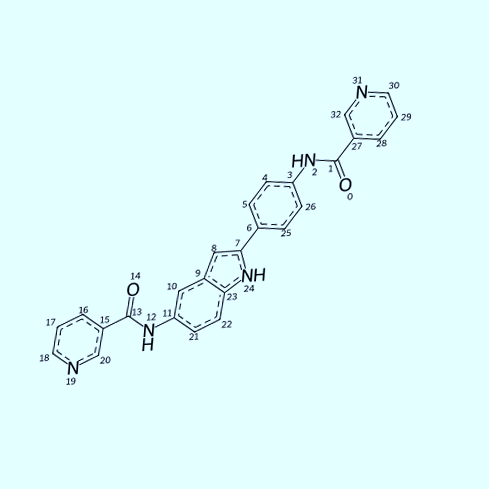 O=C(Nc1ccc(-c2cc3cc(NC(=O)c4cccnc4)ccc3[nH]2)cc1)c1cccnc1